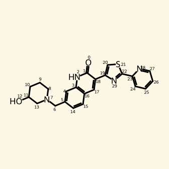 O=c1[nH]c2cc(CN3CCCC(O)C3)ccc2cc1-c1csc(-c2ccccn2)n1